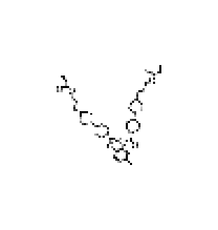 C=CC(=O)OCCC[C@H]1CC[C@H]([C@H]2CC[C@H](C(=O)Oc3ccc(C)cc3OC(=O)[C@H]3CC[C@H]([C@H]4CC[C@H](CCCOC(=O)C=C)CC4)CC3)CC2)CC1